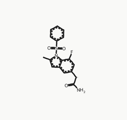 Cc1cc2cc([CH]C(N)=O)cc(F)c2n1S(=O)(=O)c1ccccc1